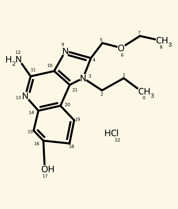 CCCn1c(COCC)nc2c(N)nc3cc(O)ccc3c21.Cl